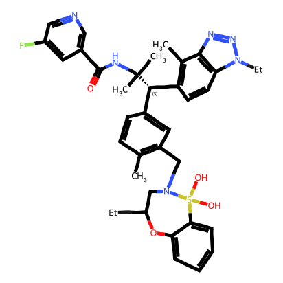 CCC1CN(Cc2cc([C@@H](c3ccc4c(nnn4CC)c3C)C(C)(C)NC(=O)c3cncc(F)c3)ccc2C)S(O)(O)c2ccccc2O1